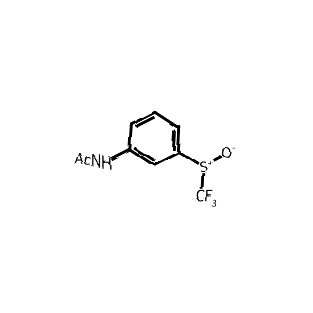 CC(=O)Nc1cccc([S+]([O-])C(F)(F)F)c1